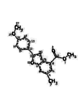 COC(=O)c1cc(C)cc2oc(-c3ccc(OC)cc3)cc12